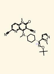 Cn1nccc1/C(=N\OC(C)(C)C)[C@H]1CC[C@@H](N(C)c2c(C#N)c(=O)n(C)c3ccc(C#N)nc23)CC1